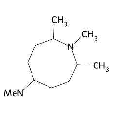 CNC1CCC(C)N(C)C(C)CC1